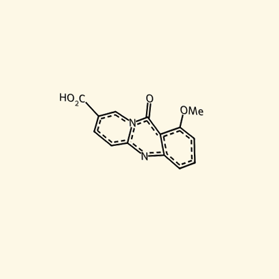 COc1cccc2nc3ccc(C(=O)O)cn3c(=O)c12